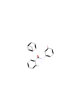 O=C(Nc1cccc(O)c1)c1ccccc1Cl.c1cc2cc(c1)C2